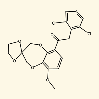 COc1ccc(C(=O)Cc2c(Cl)cncc2Cl)c2c1OCC1(CO2)OCCO1